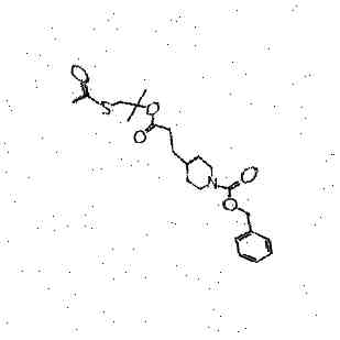 CC(=O)SCC(C)(C)OC(=O)CCC1CCN(C(=O)OCc2ccccc2)CC1